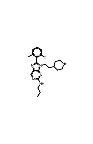 CCCNc1ncc2nc(-c3c(Cl)cccc3Cl)n(CCC3CCNCC3)c2n1